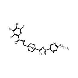 COc1cnc(-c2noc(C34CCC(CNC(=O)c5cc(F)c(O)c(F)c5F)(CC3)CC4)n2)cn1